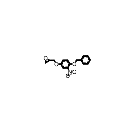 O=[N+]([O-])c1cc(OCC2CO2)ccc1OCc1ccccc1